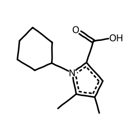 Cc1cc(C(=O)O)n(C2CCCCC2)c1C